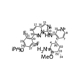 CO[C@@H]1[C@H](N)C[C@H](c2ccncc2Nc2ncc3ccc(-c4c(F)cc(OC(C)C)cc4F)nn23)C[C@@H]1C